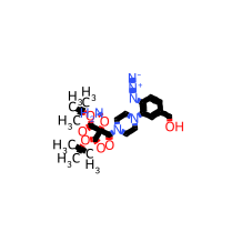 CC(C)(C)OC(=O)C(ON)(C(=O)OC(C)(C)C)C(=O)N1CCN(c2cc(CO)ccc2N=[N+]=[N-])CC1